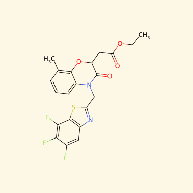 CCOC(=O)CC1Oc2c(C)cccc2N(Cc2nc3cc(F)c(F)c(F)c3s2)C1=O